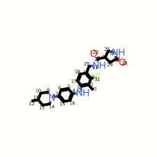 Cc1c(Nc2ccc(N3CCC(C)CC3)cc2)ccc(CNC(=O)C2CNC(=O)C2)c1F